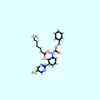 CCCCCCC(=O)Oc1c(NC(=O)OCc2ccccc2)cccc1-c1ncc(Br)cn1